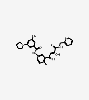 Cc1ccc(NC(=O)c2cc(C#N)cc(N3CCCC3)c2)cc1C(=N)/C=C(\O)C(=O)NCc1ccccn1